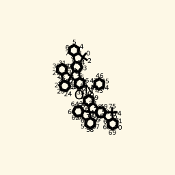 CC1(C)c2ccccc2-c2cc3c(cc21)-c1cc2c(cc1C31c3ccccc3-c3ccccc31)Oc1cc3c(cc1N2c1ccccc1)-c1cc2c(cc1C31c3ccccc3-c3ccccc31)-c1ccccc1C2(C)C